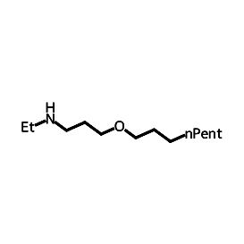 CCCCCCCCOCCCNCC